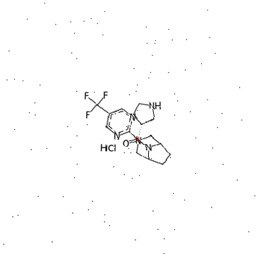 Cl.O=C([C@@H]1CCNC1)N1C2CCC1CN(c1ncc(C(F)(F)F)cn1)C2